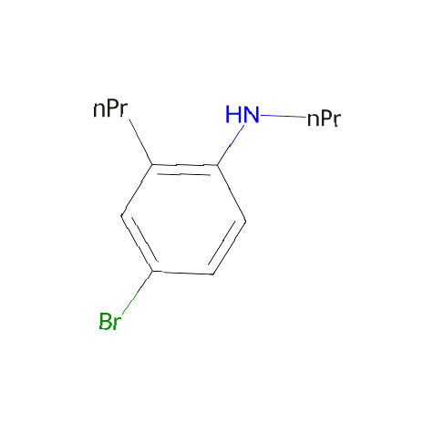 CCCNc1ccc(Br)cc1CCC